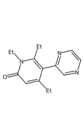 CCc1cc(=O)n(CC)c(CC)c1-c1cnccn1